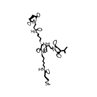 CSCCC(=O)NCCCCCCNC(=O)[C@H](CCCCNC(=O)CCN1C(=O)C=CC1=O)NC(=O)CCN1C(=O)CC(C(C)C)C1=O